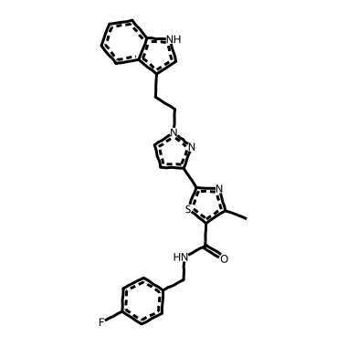 Cc1nc(-c2ccn(CCc3c[nH]c4ccccc34)n2)sc1C(=O)NCc1ccc(F)cc1